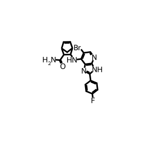 NC(=O)C1C2C=CC(C2)C1Nc1c(Br)cnc2[nH]c(-c3ccc(F)cc3)nc12